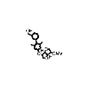 CO[C@@H]1CO[C@H]2[C@@H]1OC[C@@H]2Oc1cc(C)c(-c2cccc(CO)c2)c(C)c1